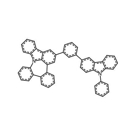 c1ccc(-n2c3ccccc3c3cc(-c4cccc(-c5cc6c7c(c5)c5ccccc5n7-c5ccccc5-c5ccccc5-6)c4)ccc32)cc1